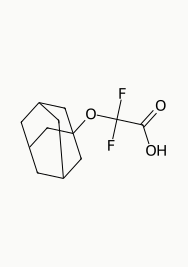 O=C(O)C(F)(F)OC12CC3CC(CC(C3)C1)C2